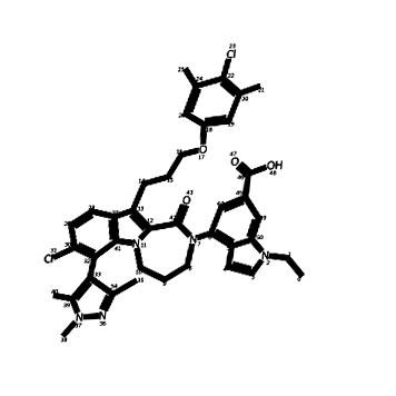 CCn1ccc2c(N3CCCn4c(c(CCCOc5cc(C)c(Cl)c(C)c5)c5ccc(Cl)c(-c6c(C)nn(C)c6C)c54)C3=O)cc(C(=O)O)cc21